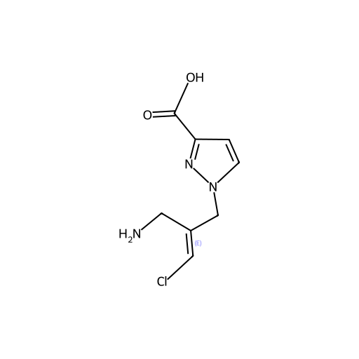 NC/C(=C\Cl)Cn1ccc(C(=O)O)n1